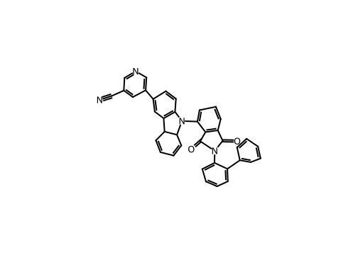 N#Cc1cncc(-c2ccc3c(c2)C2C=CC=CC2N3c2cccc3c2C(=O)N(c2ccccc2-c2ccccc2)C3=O)c1